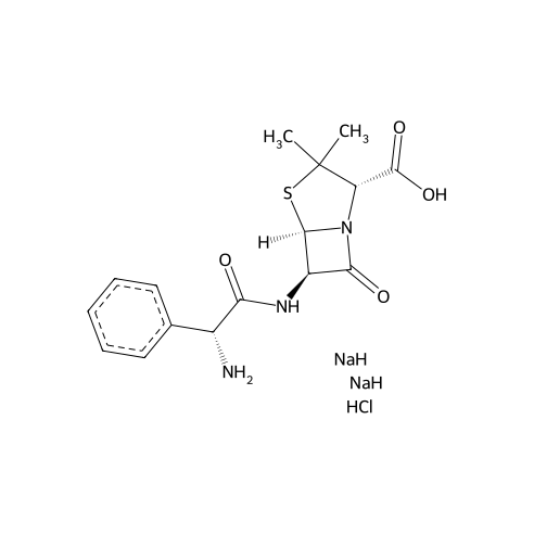 CC1(C)S[C@@H]2[C@H](NC(=O)[C@H](N)c3ccccc3)C(=O)N2[C@H]1C(=O)O.Cl.[NaH].[NaH]